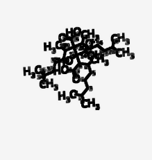 CC(C)CCCC(C)C(C(=O)O)C(O)(C(=O)O)C(C(=O)O)(C(C)CCCC(C)C)C(C)CCCC(C)C